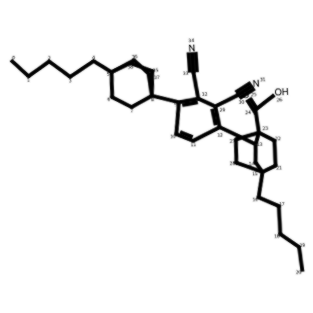 CCCCCC12CCC(c3ccc(C4CC5(CCCCC)CCC4(C(=O)O)CC5)c(C#N)c3C#N)(CC1)CC2